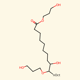 CCCCCCCCC(OCCCO)C(O)CCCCCCCC(=O)OCCCO